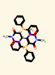 CN1C(=O)[C@H](P(c2ccccc2)c2ccccc2)[C@@H](c2c(P(c3ccccc3)c3ccccc3)c(=O)n(C)c(=O)n2C)N(C)C1=O